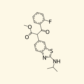 COC(=O)C(C(=O)c1ccccc1F)c1ccc2nc(NC(C)C)sc2c1